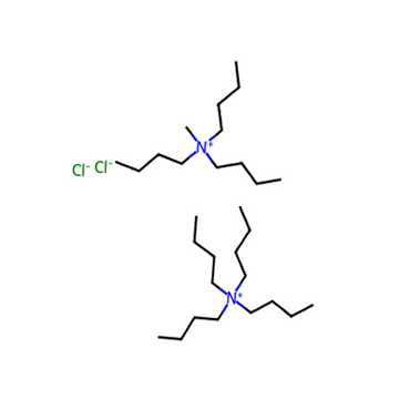 CCCC[N+](C)(CCCC)CCCC.CCCC[N+](CCCC)(CCCC)CCCC.[Cl-].[Cl-]